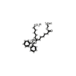 CCCCCCCCCCCOC(=O)CCCCCC(CCCCCC(=O)O)O[Si](c1ccccc1)(c1ccccc1)C(C)(C)C